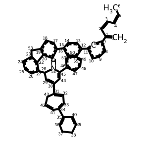 C=C(/C=C\C=C/C)c1cccc(-c2ccc(-c3ccc4c(c3)-c3c(cccc3C3C=C(C5=CC=C(C6=CCCC=C6)C=CC5)C=C(c5ccccc5)N3)C4)cc2)c1